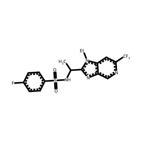 CCn1c(C(C)NS(=O)(=O)c2ccc(F)cc2)nc2cnc(C(F)(F)F)cc21